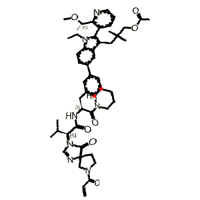 C=CC(=O)N1CCC2(C1)N=CN([C@H](C(=O)N[C@@H](Cc1cccc(-c3ccc4c(c3)c(CC(C)(C)COC(C)=O)c(-c3cccnc3[C@H](C)OC)n4CC)c1)C(=O)N1CCCCN1)C(C)C)C2=O